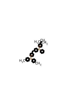 Cc1ccc([SH](c2ccc(C)cc2)c2ccc(Cc3ccc([SH](c4ccccc4)c4ccc(C(C)(C)C)cc4)cc3)cc2)cc1